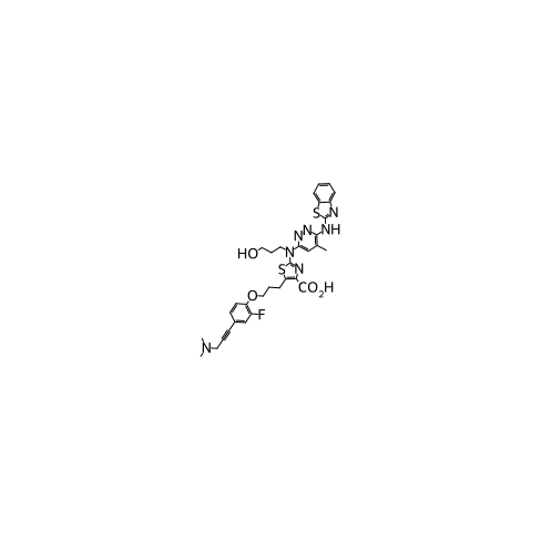 Cc1cc(N(CCCO)c2nc(C(=O)O)c(CCCOc3ccc(C#CCN(C)C)cc3F)s2)nnc1Nc1nc2ccccc2s1